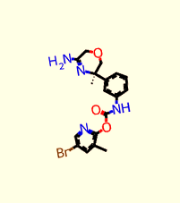 Cc1cc(Br)cnc1OC(=O)Nc1cccc([C@]2(C)COCC(N)=N2)c1